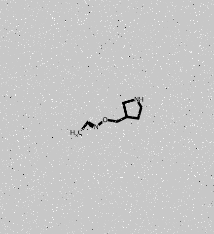 C/C=N/OCC1CCNC1